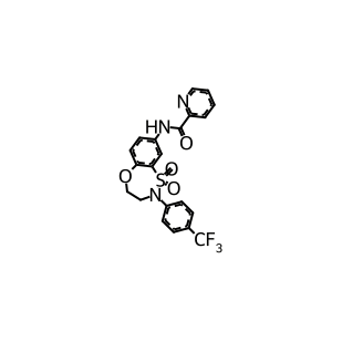 O=C(Nc1ccc2c(c1)S(=O)(=O)N(c1ccc(C(F)(F)F)cc1)CCO2)c1ccccn1